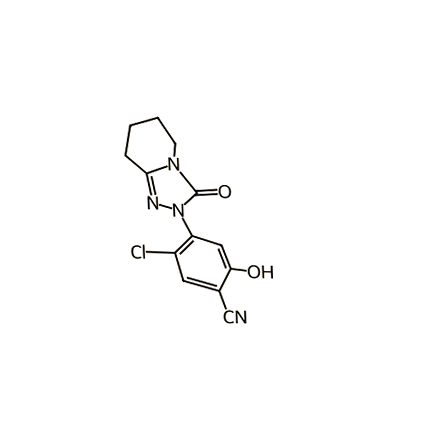 N#Cc1cc(Cl)c(-n2nc3n(c2=O)CCCC3)cc1O